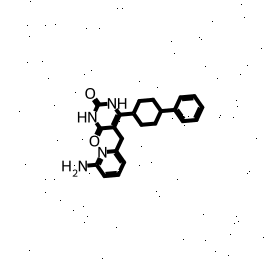 Nc1cccc(Cc2c(C3CCC(c4ccccc4)CC3)[nH]c(=O)[nH]c2=O)n1